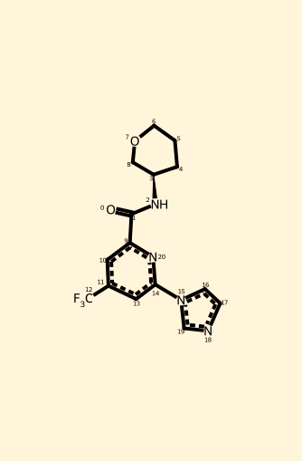 O=C(N[C@@H]1CCCOC1)c1cc(C(F)(F)F)cc(-n2ccnc2)n1